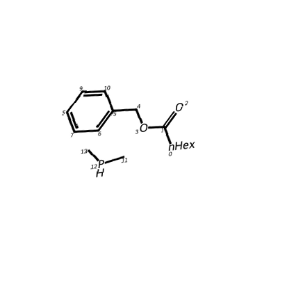 CCCCCCC(=O)OCc1ccccc1.CPC